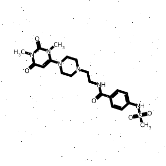 Cn1c(N2CCN(CCNC(=O)c3ccc(NS(C)(=O)=O)cc3)CC2)cc(=O)n(C)c1=O